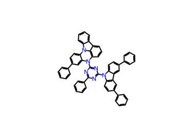 c1ccc(-c2ccc3c(c2)N(c2nc(-c4ccccc4)nc(-n4c5ccc(-c6ccccc6)cc5c5cc(-c6ccccc6)ccc54)n2)c2cccc4c5ccccc5n-3c24)cc1